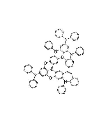 C1=Cc2cc3c(cc2N(c2ccccc2)c2ccccc21)Oc1cc(N(c2ccccc2)c2ccccc2)cc2c1B3c1cc3c(cc1O2)N(c1ccccc1)c1cc(N(c2ccccc2)c2ccccc2)cc2c1B3c1ccccc1N2c1ccccc1